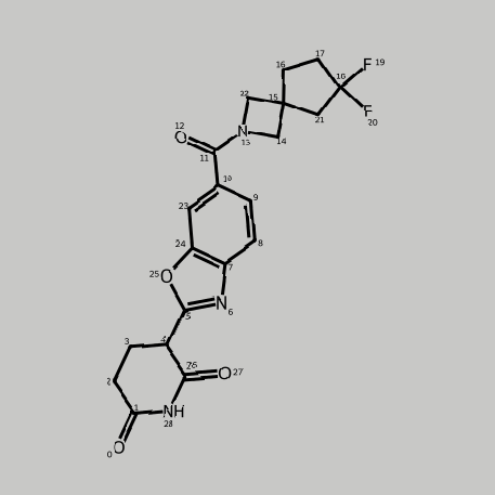 O=C1CCC(c2nc3ccc(C(=O)N4CC5(CCC(F)(F)C5)C4)cc3o2)C(=O)N1